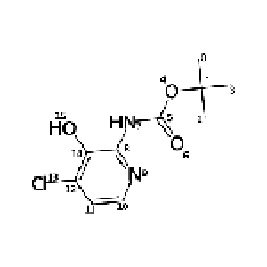 CC(C)(C)OC(=O)Nc1nccc(Cl)c1O